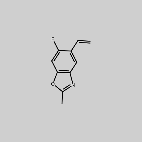 C=Cc1cc2nc(C)oc2cc1F